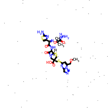 COCc1cc(SCC2(C(=O)O)CS[C@@H]3C(NC(=O)C(=NOC(C)(C)C(=O)NN)c4csc(N)n4)C(=O)N3C2)nc2cnnn12